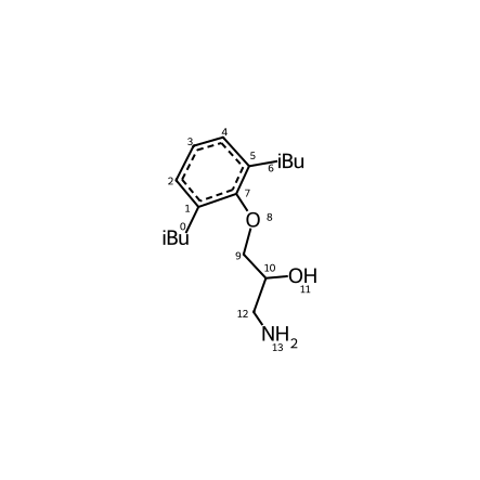 CCC(C)c1cccc(C(C)CC)c1OCC(O)CN